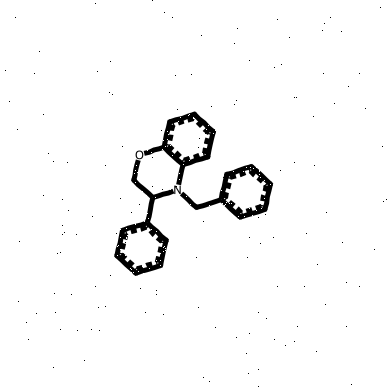 c1ccc(CN2c3ccccc3OCC2c2ccccc2)cc1